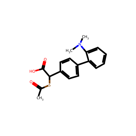 CC(=O)SC(C(=O)O)c1ccc(-c2ccccc2N(C)C)cc1